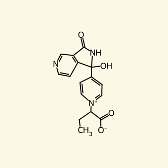 CCC(C(=O)[O-])[n+]1ccc(C2(O)NC(=O)c3cnccc32)cc1